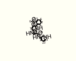 CS(=O)(=O)c1ccccc1C1C=CC2NC=C(C(=O)NC3=CC=CNC3)N2N1